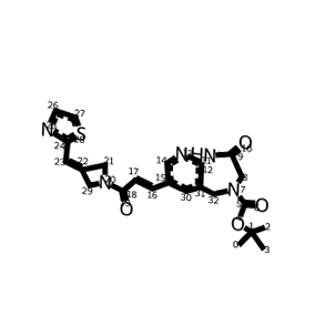 CC(C)(C)OC(=O)N1CC(=O)Nc2ncc(/C=C/C(=O)N3CC(=Cc4nccs4)C3)cc2C1